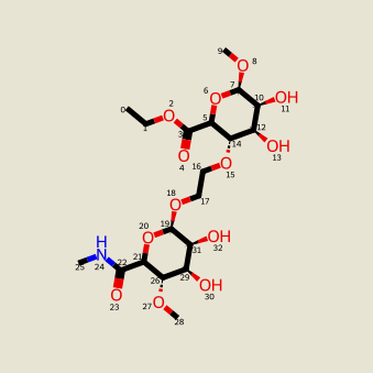 CCOC(=O)C1O[C@@H](OC)[C@@H](O)[C@@H](O)[C@@H]1OCCO[C@@H]1OC(C(=O)NC)[C@@H](OC)[C@H](O)[C@@H]1O